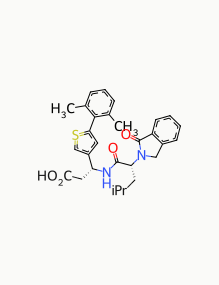 Cc1cccc(C)c1-c1cc([C@@H](CC(=O)O)NC(=O)[C@@H](CC(C)C)N2Cc3ccccc3C2=O)cs1